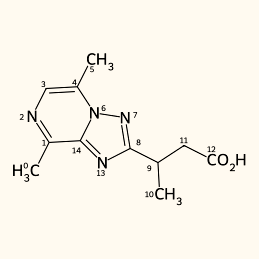 Cc1ncc(C)n2nc(C(C)CC(=O)O)nc12